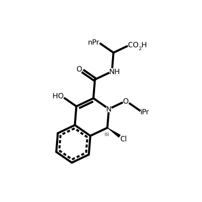 CCCC(NC(=O)C1=C(O)c2ccccc2[C@H](Cl)N1OC(C)C)C(=O)O